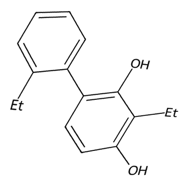 CCc1ccccc1-c1ccc(O)c(CC)c1O